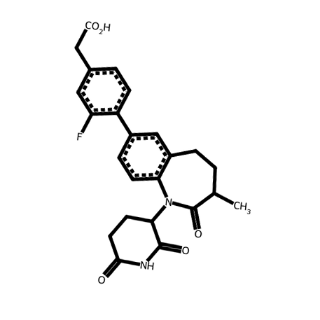 CC1CCc2cc(-c3ccc(CC(=O)O)cc3F)ccc2N(C2CCC(=O)NC2=O)C1=O